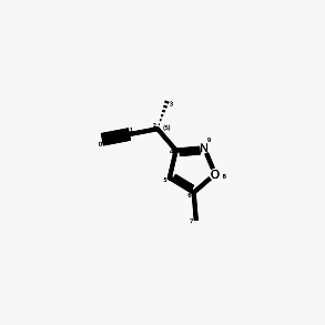 C#C[C@H](C)c1cc(C)on1